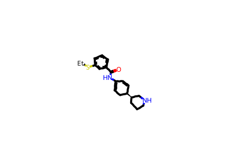 CCSc1cccc(C(=O)NC2=CCC([C@@H]3CCCNC3)C=C2)c1